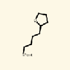 CCCCCCCCCC1CCCO1